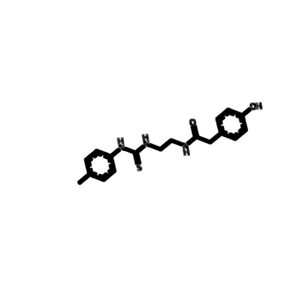 Cc1ccc(NC(=S)NCCNC(=O)Cc2ccc(O)cc2)cc1